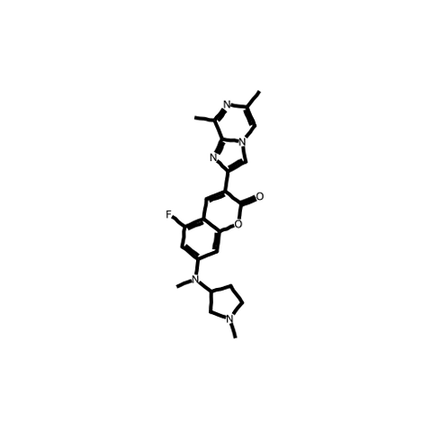 Cc1cn2cc(-c3cc4c(F)cc(N(C)C5CCN(C)C5)cc4oc3=O)nc2c(C)n1